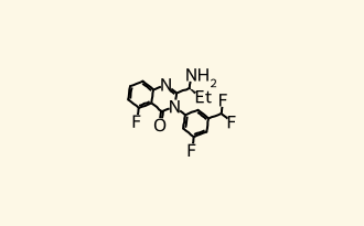 CC[C@H](N)c1nc2cccc(F)c2c(=O)n1-c1cc(F)cc(C(F)F)c1